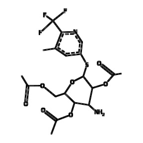 CC(=O)OCC1OC(Sc2cnc(C(F)(F)F)c(C)c2)C(OC(C)=O)C(N)C1OC(C)=O